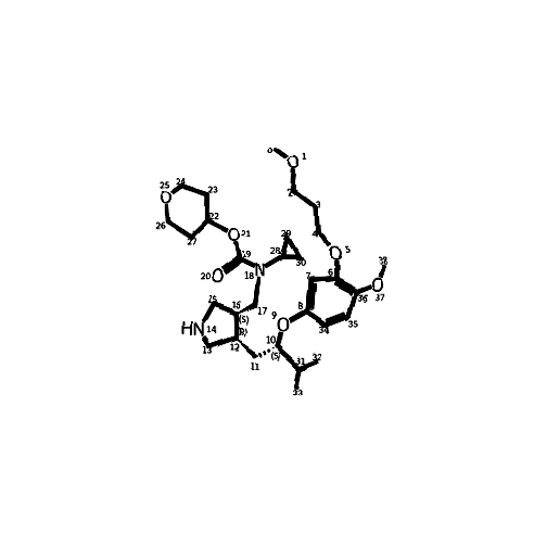 COCCCOc1cc(O[C@@H](C[C@H]2CNC[C@H]2CN(C(=O)OC2CCOCC2)C2CC2)C(C)C)ccc1OC